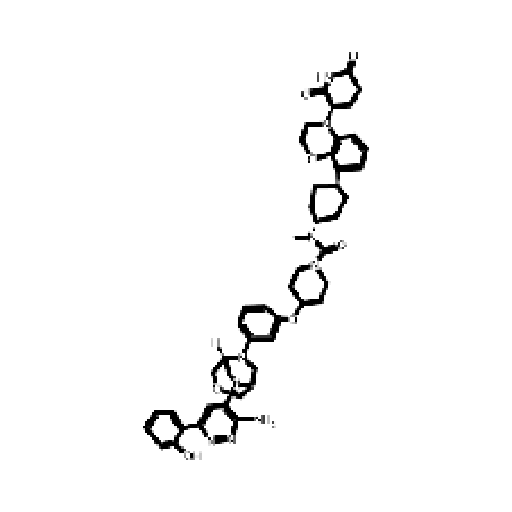 CN(C(=O)N1CCC(Oc2cccc(N3CC4COC[C@H]3CN4c3cc(-c4ccccc4O)nnc3N)c2)CC1)[C@H]1CC[C@H](c2cccc3c2OCCN3[C@@H]2CCC(=O)NC2=O)CC1